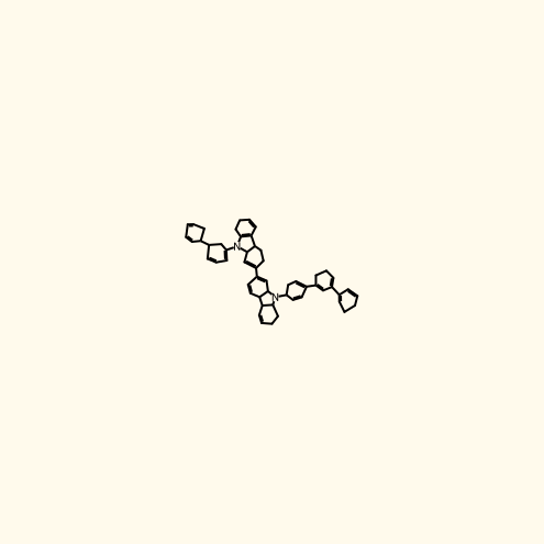 C1=CCC(C2C=CC=C(N3C4=C(C=CCC4)C4CCC(C5=CC6C(C=C5)C5C=CCCC5N6C5C=CC(C6=CC(C7=CCCC=C7)=CCC6)=CC5)=CC43)C2)C=C1